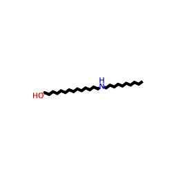 CCCCCCCCCCNCCCCCCCCCCCCCCO